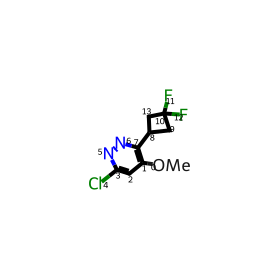 COc1cc(Cl)nnc1C1CC(F)(F)C1